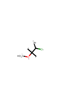 CC(C)C(Cl)C(C)(C)OC(=O)O